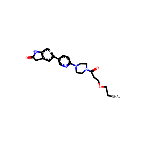 CC(=O)NCCOCCC(=O)N1CCN(c2ccc(-c3ccc4c(c3)CC(=O)N4)cn2)CC1